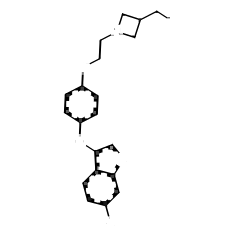 Oc1ccc2c(Oc3ccc(OCCN4CC(CF)C4)cc3)[c]sc2c1